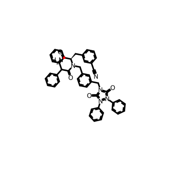 N#Cc1cccc(C[C@H](C(N)=O)N(Cc2cccc(Cn3c(=O)n(-c4ccccc4)n(-c4ccccc4)c3=O)c2)C(=O)C(c2ccccc2)c2ccccc2)c1